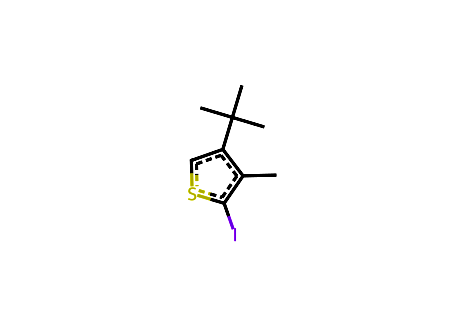 Cc1c(C(C)(C)C)csc1I